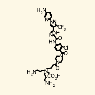 Cn1c(-c2cn(-c3ccc(N)cn3)nc2C(F)(F)F)cnc1C(=O)Nc1ccc(C(=O)N2CCN(C(=O)CCC[N+](CCCN)(CCCN)CC(=O)O)CC2)c(Cl)c1